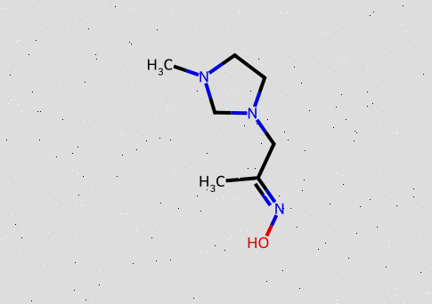 C/C(CN1CCN(C)C1)=N\O